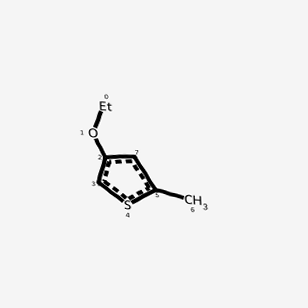 CCOc1[c]sc(C)c1